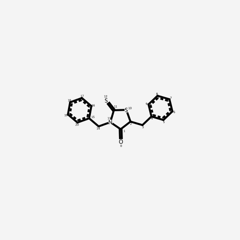 O=C1C(Cc2ccccc2)SC(=S)N1Cc1ccccc1